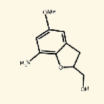 COc1cc(N)c2c(c1)CC(CO)O2